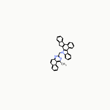 Cc1nc(Cn2c3ccccc3c3c4ccccc4c4c(c32)Cc2ccccc2-4)nc2ccc3ccccc3c12